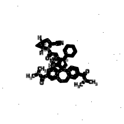 CN(C)C(=O)c1ccc2c(c1)CCc1cc(C(=O)N(C)C)ccc1C2(C[C@@H](NCC(=O)N1C(C#N)C[C@@H]2C[C@@H]21)C1CCCCC1)c1nnn[nH]1